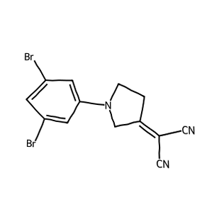 N#CC(C#N)=C1CCN(c2cc(Br)cc(Br)c2)C1